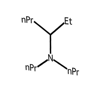 [CH2]CC(CCC)N(CCC)CCC